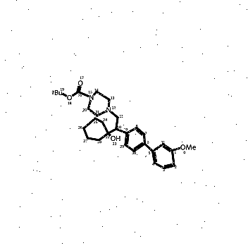 COc1cccc(-c2ccc(C(CN3CCN(C(=O)OC(C)(C)C)CC3)C3(O)CCCCC3)cc2)c1